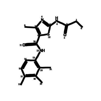 CCC(=O)Nc1nc(C)c(C(=O)Nc2ccc(C)c(C)c2C)s1